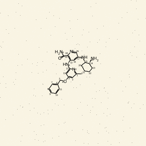 Cc1cc(OCc2ccccc2)cc(Nc2cc(N[C@@H]3CCCC[C@@H]3N)cnc2C(N)=O)n1